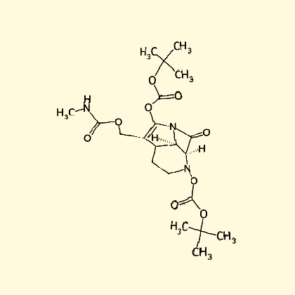 CNC(=O)OCC1=C(OC(=O)OC(C)(C)C)N2C(=O)[C@@H]3[C@H]2C1CCN3OC(=O)OC(C)(C)C